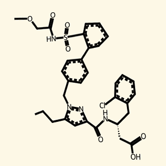 CCCc1cc(C(=O)N[C@@H](CC(=O)O)Cc2ccccc2Cl)nn1Cc1ccc(-c2ccccc2S(=O)(=O)NC(=O)COC)cc1